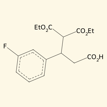 CCOC(=O)C(C(=O)OCC)C(CC(=O)O)c1cccc(F)c1